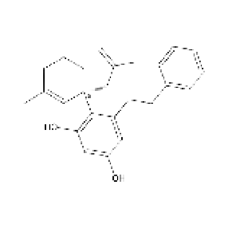 C=C(C)C[C@]1(c2c(O)cc(O)cc2CCc2ccccc2)C=C(C)CCC1